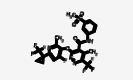 Cc1nc(C2(C(F)(F)F)CC2)cc(F)c1Oc1nnc(C(F)(F)F)c(C)c1C(=O)Nc1cccc(S(C)(=O)=O)c1